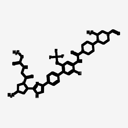 COC(=O)NCC(=O)N1CC(C)CC1c1nc(-c2ccc(-c3cc(Cl)c(NC(=O)N4CCC(N5CCN(C=O)CC5C)CC4)cc3OC(F)(F)F)cc2)c[nH]1